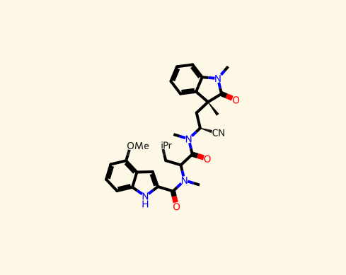 COc1cccc2[nH]c(C(=O)N(C)C(CC(C)C)C(=O)N(C)[C@H](C#N)C[C@@]3(C)C(=O)N(C)c4ccccc43)cc12